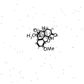 COc1ccc2c3c1O[C@@H]1C(=O)CC[C@@H]4C(C2)[N@@+](C)([O-])CC[C@@]314